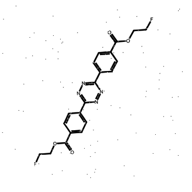 O=C(OCCF)c1ccc(-c2nnc(-c3ccc(C(=O)OCCF)cc3)nn2)cc1